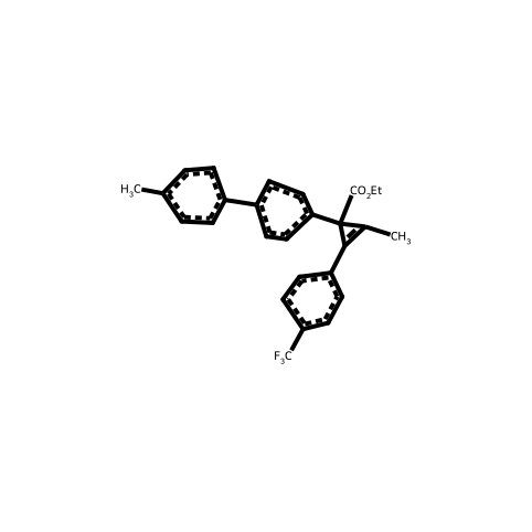 CCOC(=O)C1(c2ccc(-c3ccc(C)cc3)cc2)C(C)=C1c1ccc(C(F)(F)F)cc1